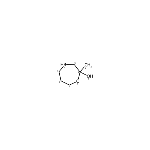 CC1(O)CBCCCO1